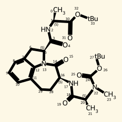 C[C@H](NC(=O)[C@@H]1Cc2cccc3c2N1C(=O)[C@@H](NC(=O)[C@H](C)N(C)C(=O)OC(C)(C)C)CC3)C(=O)OC(C)(C)C